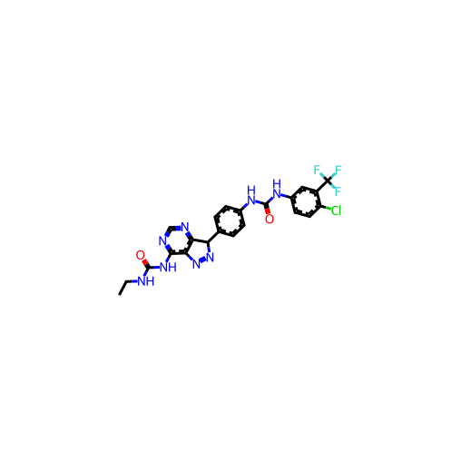 CCNC(=O)Nc1ncnc2c1N=NC2c1ccc(NC(=O)Nc2ccc(Cl)c(C(F)(F)F)c2)cc1